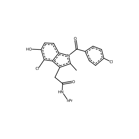 CCCNC(=O)Cc1c(C)n(C(=O)c2ccc(Cl)cc2)c2ccc(O)c(Cl)c12